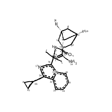 CC(C)(NC(=O)[C@@H]1[C@@H]2C[C@H]1CN(C(=N)N)C2)c1nc(C2CC2)c2ccccn12